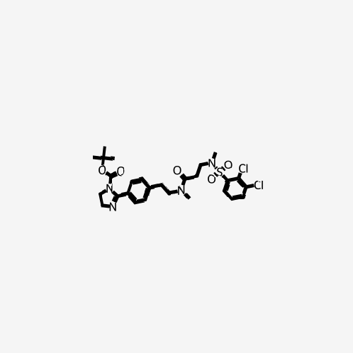 CN(CCc1ccc(C2=NCCN2C(=O)OC(C)(C)C)cc1)C(=O)CCN(C)S(=O)(=O)c1cccc(Cl)c1Cl